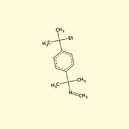 C=NC(C)(C)c1ccc(C(C)(C)CC)cc1